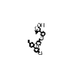 CCc1ccc(-c2ccc(OC)cc2N2CCC(COc3cccc(C(CC(=O)O)C4CC4)c3)CC2)cc1